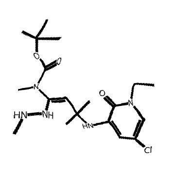 CCn1cc(Cl)cc(NC(C)(C)/C=C(\NNC)N(C)C(=O)OC(C)(C)C)c1=O